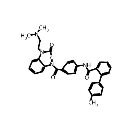 Cc1ccc(-c2ccccc2C(=O)Nc2ccc(C(=O)N3CC(=O)N(CCN(C)C)c4ccccc43)cc2)cc1